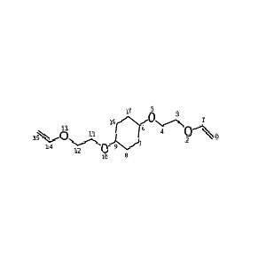 C=COCCOC1CCC(OCCOC=C)CC1